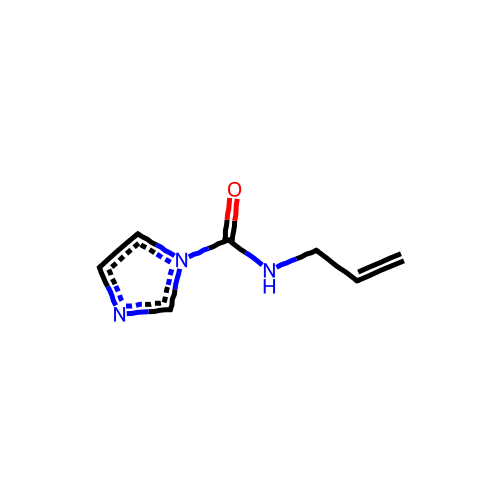 C=CCNC(=O)n1ccnc1